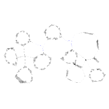 C=C1/C=C\C=C/CN(c2cccc(N3c4ccccc4C(c4cc#ccc4)(c4ccccc4)c4ccccc43)c2)c2ccccc2C1(C1=CC=CCC1)c1ccccc1